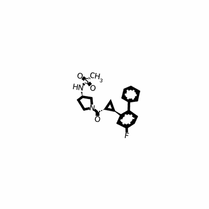 CS(=O)(=O)N[C@H]1CCN(C(=O)[C@@H]2C[C@H]2c2cc(F)ccc2-c2ccccc2)C1